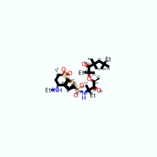 CCN[C@H]1C[C@H](C)S(=O)(=O)c2sc(S(=O)(=O)NC(C)(CC)C(=O)[C@H](C)OC(C)(CC)C(=O)C(C)(C)CC(C)(C)CC)cc21